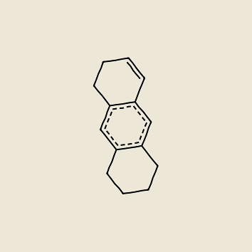 C1=Cc2cc3c(cc2CC1)CCCC3